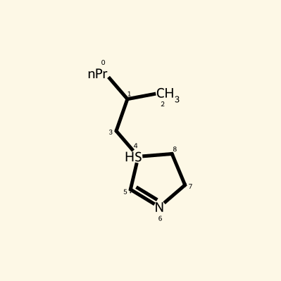 CCCC(C)C[SH]1[C]=NCC1